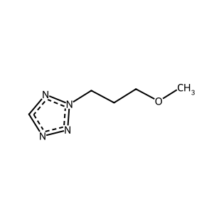 COCCCn1ncnn1